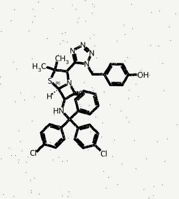 CC1(C)S[C@@H]2C(NC(c3ccccc3)(c3ccc(Cl)cc3)c3ccc(Cl)cc3)C(=O)N2C1c1nnnn1Cc1ccc(O)cc1